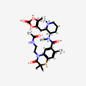 CCC(=O)NCCN1C(=O)C(C)(C)Sc2cc(C(F)(F)F)c(C(=O)N(C(C)C)[C@@H]3CCCN(C(=O)O)C3Cc3oc(=O)oc3C)cc21